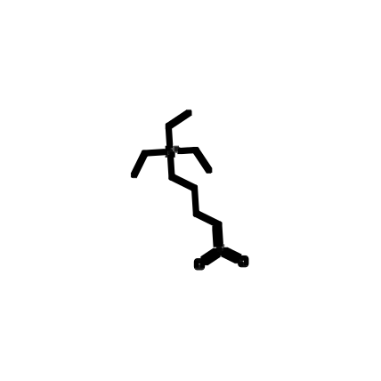 CC[N+](CC)(CC)CCCC=S(=O)=O